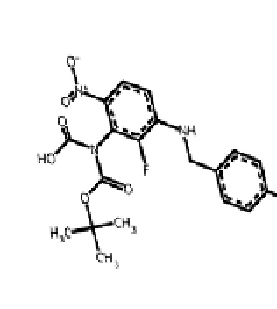 CC(C)(C)OC(=O)N(C(=O)O)c1c([N+](=O)[O-])ccc(NCc2ccc(F)cc2)c1F